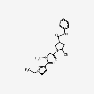 CN(CC(=O)N1CC(C(=O)Nc2ccccc2)CC1C#N)C(=O)c1ccn(CC(F)(F)F)n1